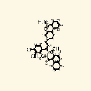 COc1ccc2c(c1C(=O)N(C)C[C@@H](CCN1CCC(c3ccccc3[S+](C)[O-])CC1)c1ccc(Cl)c(Cl)c1)CCCC2